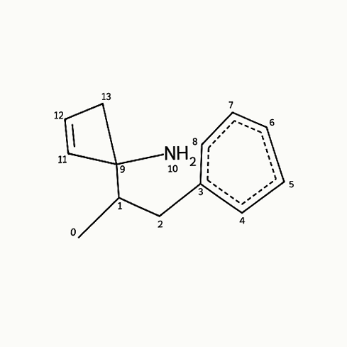 CC(Cc1ccccc1)C1(N)C=CC1